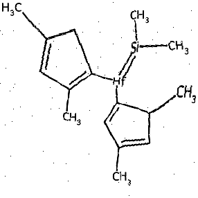 CC1=CC(C)[C]([Hf]([C]2=C(C)C=C(C)C2)=[Si](C)C)=C1